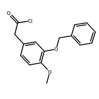 COc1ccc(CC(=O)Cl)cc1OCc1ccccc1